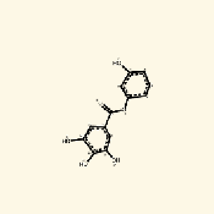 O=C(Oc1cccc(O)c1)c1cc(O)c(O)c(O)c1